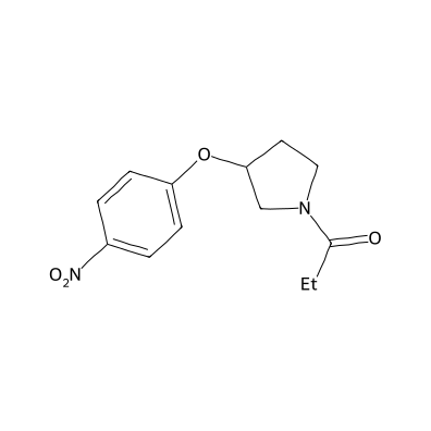 CCC(=O)N1CCC(Oc2ccc([N+](=O)[O-])cc2)C1